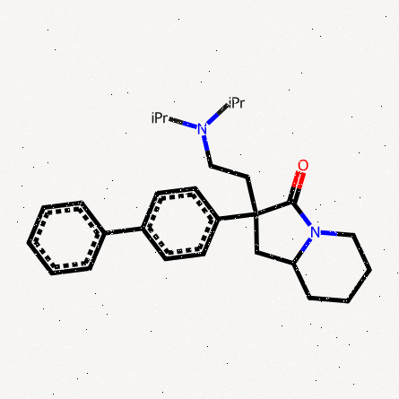 CC(C)N(CCC1(c2ccc(-c3ccccc3)cc2)CC2CCCCN2C1=O)C(C)C